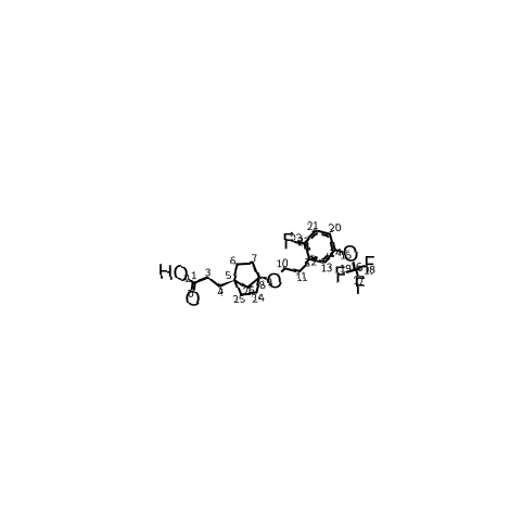 O=C(O)CC[C@]12CC[C@](OCCc3cc(OC(F)(F)F)ccc3F)(CC1)C2